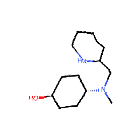 CN(CC1CCCCN1)[C@H]1CC[C@H](O)CC1